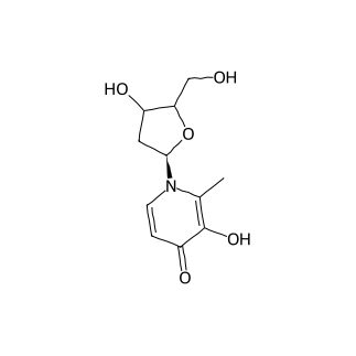 Cc1c(O)c(=O)ccn1[C@H]1CC(O)C(CO)O1